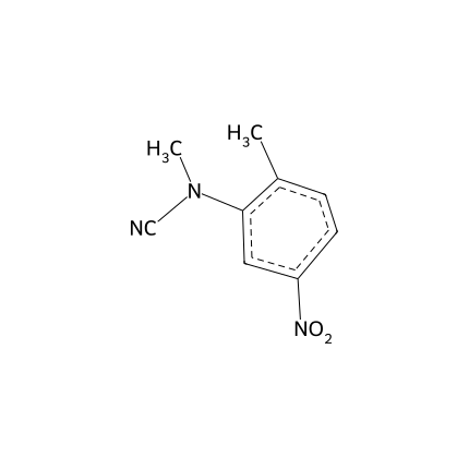 Cc1ccc([N+](=O)[O-])cc1N(C)C#N